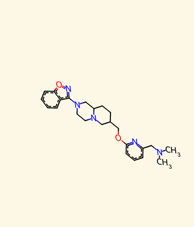 CN(C)Cc1cccc(OCC2CCC3CN(c4noc5ccccc45)CCN3C2)n1